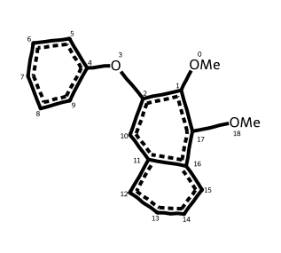 COc1c(Oc2ccccc2)cc2ccccc2c1OC